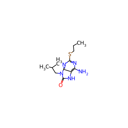 CCCSc1nc(N)c2[nH]c(=O)n(CC(C)C)c2n1